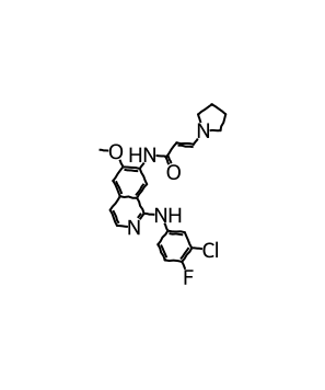 COc1cc2ccnc(Nc3ccc(F)c(Cl)c3)c2cc1NC(=O)C=CN1CCCC1